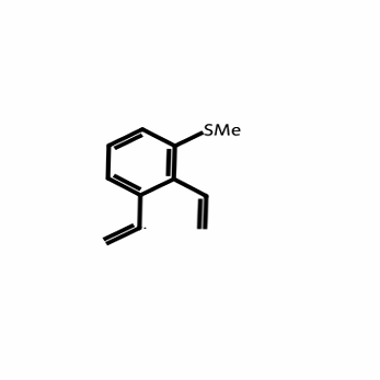 C=[C]c1cccc(SC)c1C=C